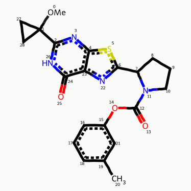 COC1(c2nc3sc(C4CCCN4C(=O)Oc4cccc(C)c4)nc3c(=O)[nH]2)CC1